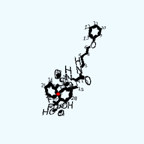 O=C(NCCCCOc1ccccc1)[C@H](Cc1ccc(C(F)(F)P(=O)(O)O)cc1)NS(=O)(=O)c1ccccc1